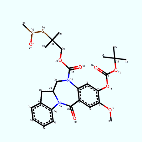 COc1cc2c(cc1OC(=O)OC(C)(C)C)N(C(=O)OCC(C)(C)S[S+](C)[O-])CC1Cc3ccccc3N1C2=O